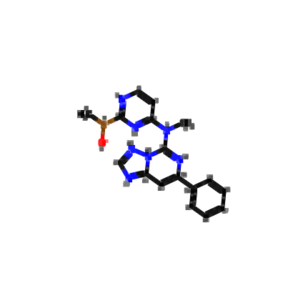 CN(c1ccnc([S+](C)[O-])n1)c1nc(-c2ccccc2)cc2ncnn12